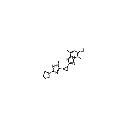 Cc1cc(Cl)c(C)n2nc([C@H]3C[C@@H]3c3nc(N4CCCC4)nn3C)nc12